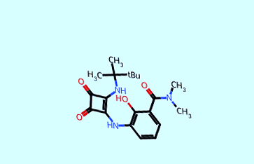 CN(C)C(=O)c1cccc(Nc2c(NC(C)(C)C(C)(C)C)c(=O)c2=O)c1O